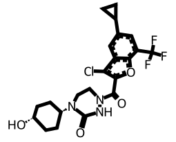 O=C(c1oc2c(C(F)(F)F)cc(C3CC3)cc2c1Cl)N1CCN([C@H]2CC[C@@H](O)CC2)C(=O)N1